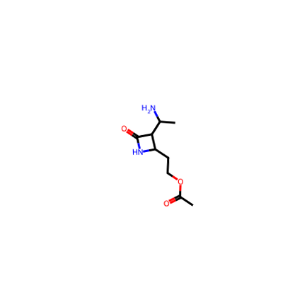 CC(=O)OCCC1NC(=O)C1C(C)N